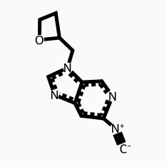 [C-]#[N+]c1cc2ncn(CC3CCO3)c2cn1